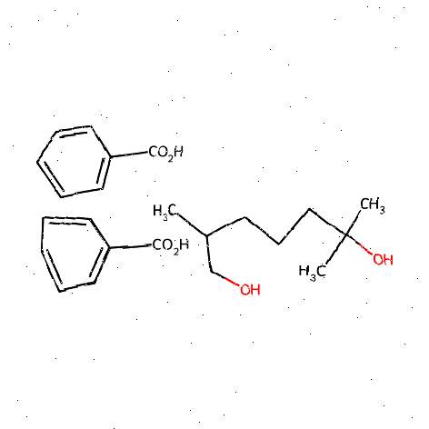 CC(CO)CCCC(C)(C)O.O=C(O)c1ccccc1.O=C(O)c1ccccc1